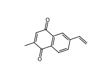 C=Cc1ccc2c(c1)C(=O)C=C(C)C2=O